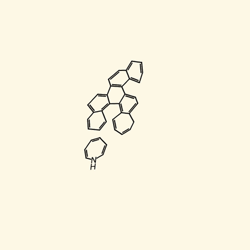 C1=CC=CNC=C1.C1=CCc2ccc3c(c2C=C1)c1c2ccccc2ccc1c1ccc2ccccc2c13